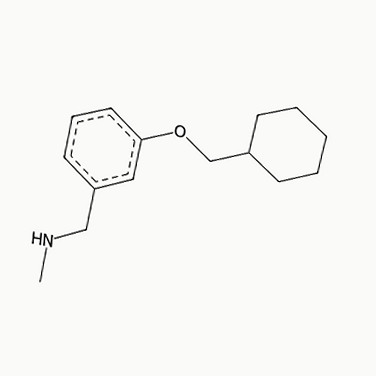 CNCc1cccc(OCC2CCCCC2)c1